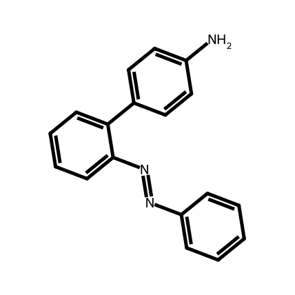 Nc1ccc(-c2ccccc2N=Nc2ccccc2)cc1